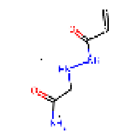 C=CC(=O)NNCC(N)=O